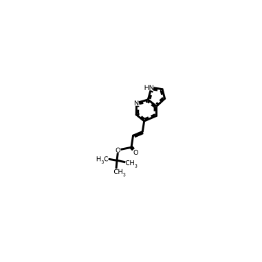 CC(C)(C)OC(=O)C=Cc1cnc2[nH]ccc2c1